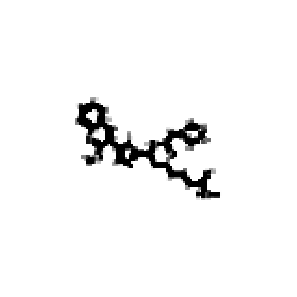 CNC(=O)CCCCCC(NC(=O)Cn1cnnc1)c1ncc(-c2cc3ccccc3nc2OC)[nH]1